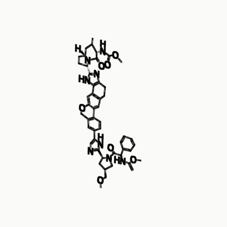 C=C(N[C@@H](C(=O)N1C[C@@H](COC)C[C@H]1c1ncc(-c2ccc3c(c2)COc2cc4c(cc2-3)CCc2nc([C@@H]3CC[C@@H]5CC(C)[C@H](NC(=O)OC)C(=O)N53)[nH]c2-4)[nH]1)c1ccccc1)OC